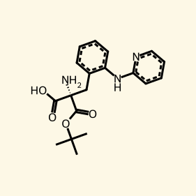 CC(C)(C)OC(=O)[C@](N)(Cc1ccccc1Nc1ccccn1)C(=O)O